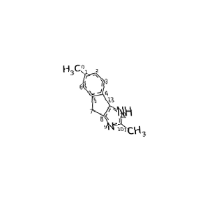 Cc1ccc2c(c1)Cc1nc(C)[nH]c1-2